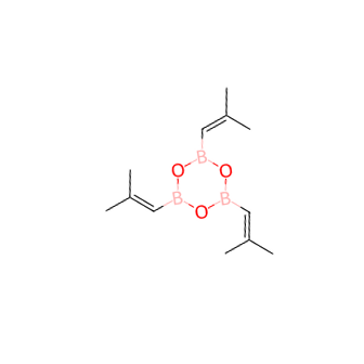 CC(C)=CB1OB(C=C(C)C)OB(C=C(C)C)O1